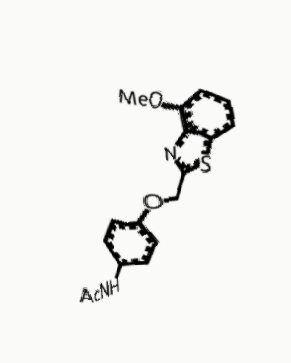 COc1cccc2sc(COc3ccc(NC(C)=O)cc3)nc12